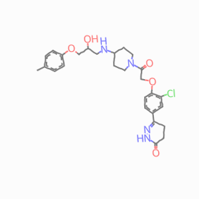 Cc1ccc(OCC(O)CNC2CCN(C(=O)COc3ccc(C4=NNC(=O)CC4)cc3Cl)CC2)cc1